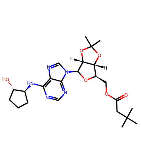 CC(C)(C)CC(=O)OC[C@H]1O[C@@H](n2cnc3c(N[C@H]4CCC[C@@H]4O)ncnc32)[C@@H]2OC(C)(C)O[C@@H]21